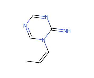 C/C=C\n1cncnc1=N